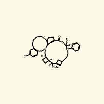 CO[C@H]1C2=CC(CC[SH](c3ncccn3)C(C)(C)OC(=O)c3ccc4c(c3)N(Cc3ccc(Cl)cc3CCCCO4)C[C@@H]3CC[C@H]31)C2